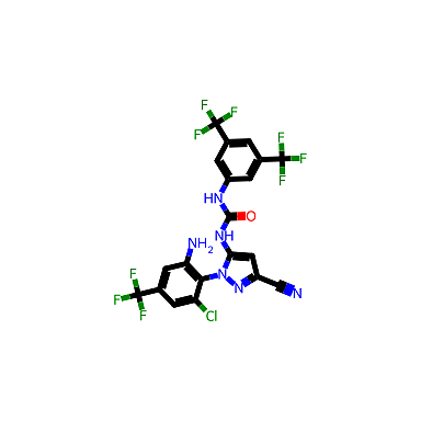 N#Cc1cc(NC(=O)Nc2cc(C(F)(F)F)cc(C(F)(F)F)c2)n(-c2c(N)cc(C(F)(F)F)cc2Cl)n1